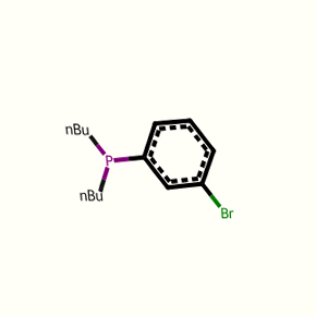 CCCCP(CCCC)c1cccc(Br)c1